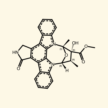 COC(=O)[C@@]1(O)[C@@H](C)[C@H]2O[C@]1(C)n1c3ccccc3c3c4c(c5c6ccccc6n2c5c31)C(=O)NC4